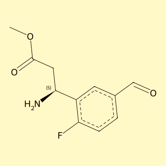 COC(=O)C[C@H](N)c1cc(C=O)ccc1F